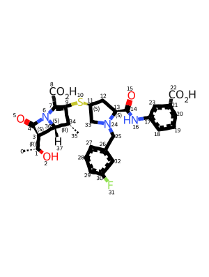 C[C@@H](O)[C@H]1C(=O)N2C(C(=O)O)=C(S[C@H]3C[C@@H](C(=O)Nc4cccc(C(=O)O)c4)N(Cc4cccc(F)c4)C3)[C@H](C)[C@H]12